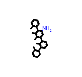 CC1=C(c2cccc(-c3cc(N)c(-c4ccccc4C)c(C)c3C)c2C)CCC=C1